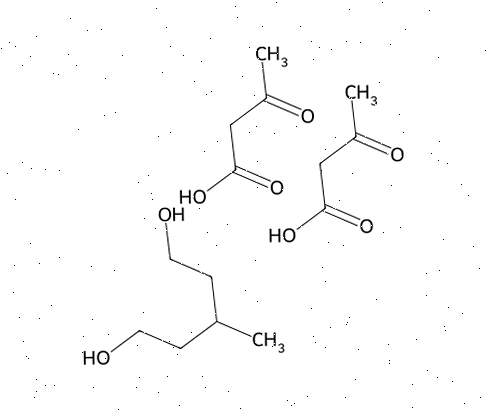 CC(=O)CC(=O)O.CC(=O)CC(=O)O.CC(CCO)CCO